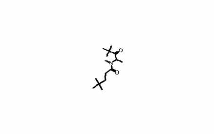 CC(C(=O)C(C)(C)C)N(C)C(=O)CCC(C)(C)C